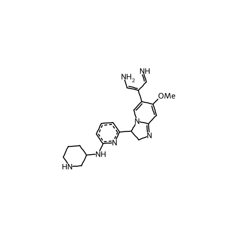 COC1=CC2=NCC(c3cccc(NC4CCCNC4)n3)N2C=C1/C(C=N)=C/N